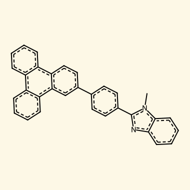 Cn1c(-c2ccc(-c3ccc4c5ccccc5c5ccccc5c4c3)cc2)nc2ccccc21